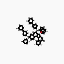 c1ccc(-c2ccc(N(c3ccccc3)c3ccc4c(c3)cc(N(c3ccccc3)c3ccc(-c5ccccc5)cc3)c3c4c4c5ccccc5ccc4n3-c3ccccc3)cc2)cc1